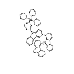 c1ccc([Si](c2ccccc2)(c2ccccc2)c2cccc(-n3c4ccccc4c4cc(-c5cccc6c7ccccc7n(-c7cccc8oc9ccccc9c78)c56)ccc43)c2)cc1